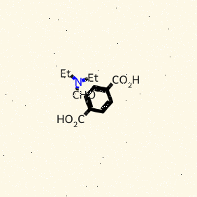 CCN(C=O)CC.O=C(O)c1ccc(C(=O)O)cc1